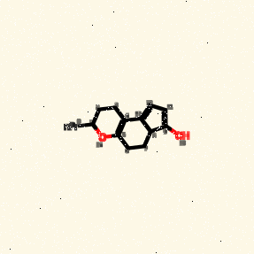 CCCC1CCC2=C(CCC3C(O)=CC=C23)O1